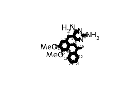 COc1cc(Cc2cnc(N)nc2N)c(CC(C)c2ccccc2)cc1OC